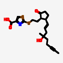 CC#CCCC(C)(O)C/C=C/[C@@H]1CCC(=O)[C@@H]1CCSc1nc(C(=O)O)cs1